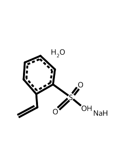 C=Cc1ccccc1S(=O)(=O)O.O.[NaH]